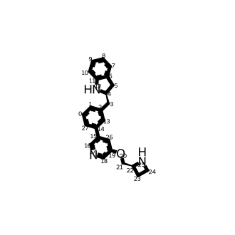 c1cc(C[C@@H]2Cc3ccccc3N2)cc(-c2cncc(OC[C@@H]3CCN3)c2)c1